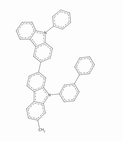 Cc1ccc2c3ccc(-c4ccc5c(c4)c4ccccc4n5-c4ccccc4)cc3n(-c3cccc(-c4ccccc4)c3)c2c1